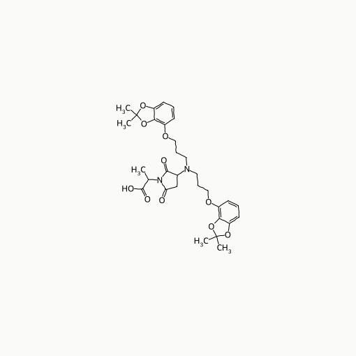 CC(C(=O)O)N1C(=O)CC(N(CCCOc2cccc3c2OC(C)(C)O3)CCCOc2cccc3c2OC(C)(C)O3)C1=O